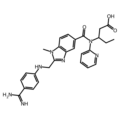 CCC(CC(=O)O)N(C(=O)c1ccc2c(c1)nc(CNc1ccc(C(=N)N)cc1)n2C)c1ccccn1